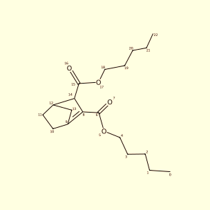 CCCCCOC(=O)C1=C2CCC(C2)C1C(=O)OCCCCC